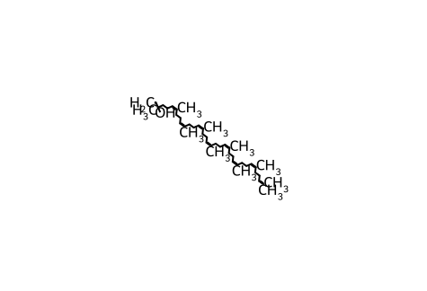 C=CC(C)(O)CCC=C(C)CCC=C(C)CCC=C(C)CCC=C(C)CCC=C(C)CCC=C(C)CCC=C(C)CCC=C(C)C